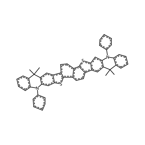 CC1(C)c2ccccc2N(c2ccccc2)c2cc3sc4c(ccc5c4ccc4c6cc7c(cc6sc45)N(c4ccccc4)c4ccccc4C7(C)C)c3cc21